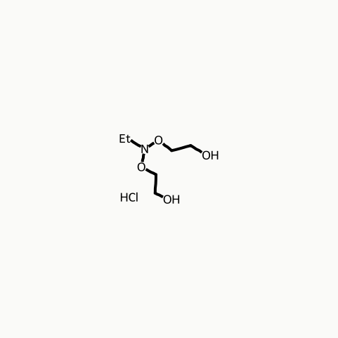 CCN(OCCO)OCCO.Cl